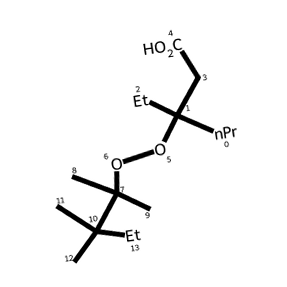 CCCC(CC)(CC(=O)O)OOC(C)(C)C(C)(C)CC